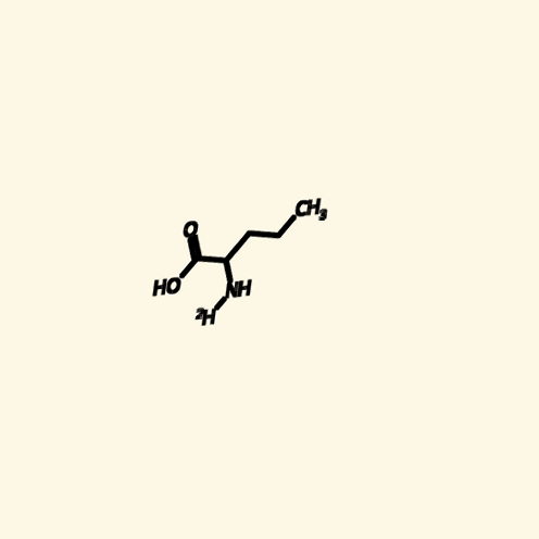 [2H]NC(CCC)C(=O)O